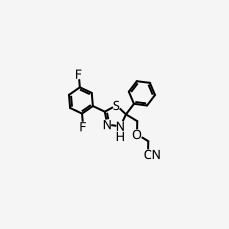 N#CCOCC1(c2ccccc2)NN=C(c2cc(F)ccc2F)S1